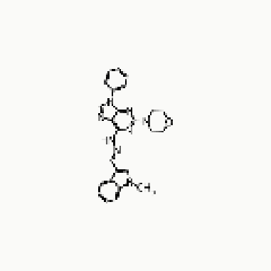 Cn1cc(C=NNc2nc(N3CCOCC3)nc3c2ncn3-c2ccccc2)c2ccccc21